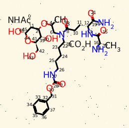 CC(=O)N[C@@H]1[C@@H](OC(C)CN(C(=O)CC[C@@H](NC(=O)[C@H](C)N)C(N)=O)[C@@H](CCCCNC(=O)OCc2ccccc2)C(=O)O)[C@H](O)[C@@H](CO)O[C@@H]1O